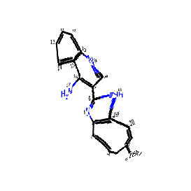 CC(C)(C)c1ccc2nc(-c3cnc4ccccc4c3N)[nH]c2c1